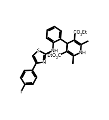 CCOC(=O)C1=C(C)NC(C)=C(C(=O)OCC)C1c1ccccc1Nc1nc(-c2ccc(I)cc2)cs1